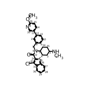 CNC1CCC(N(Cc2cccc(-c3ccc(OC)nc3)c2)C(=O)c2sc3ccccc3c2Cl)CC1